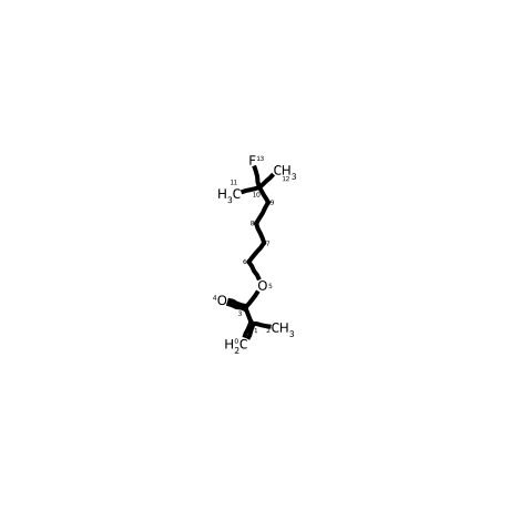 C=C(C)C(=O)OCCCCC(C)(C)F